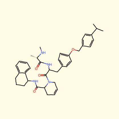 CN[C@@H](C)C(=O)NC(Cc1ccc(OCc2ccc(C(C)C)cc2)cc1)C(=O)N1CC=CCC1C(=O)NC1CCCc2ccccc21